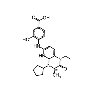 C[C@@H]1C(=O)N(CI)C2=CC=C(Nc3ccc(C(=O)O)cc3O)NC2N1C1CCCC1